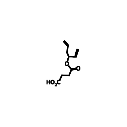 C=CCC(C=C)OC(=O)CCC(=O)O